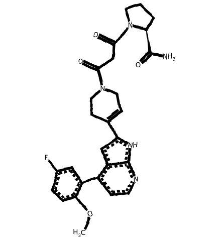 COc1ccc(F)cc1-c1ccnc2[nH]c(C3=CCN(C(=O)CC(=O)N4CCC[C@H]4C(N)=O)CC3)cc12